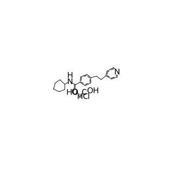 Cl.O=C(NC1CCCCC1)c1ccc(CCc2ccncc2)cc1.O=C(O)O